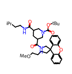 COCCCCC1(CNC(=O)C2CC(C(=O)NCCC(C)C)CN(C(=O)OC(C)(C)C)C2)c2ccccc2Oc2ccccc21